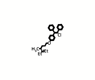 CCN(CC)C(C)CCCOc1ccc(/C(=C(\Cl)c2ccccc2)c2ccccc2)cc1